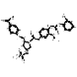 COc1cc(CC(=O)N2CC(NS(C)(=O)=O)C[C@H]2COc2ccc(C(=O)O)cc2)ccc1NC(=O)Nc1ccccc1Br